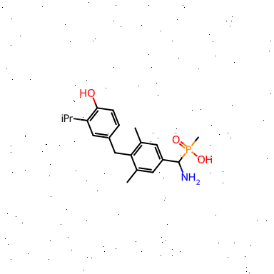 Cc1cc(C(N)P(C)(=O)O)cc(C)c1Cc1ccc(O)c(C(C)C)c1